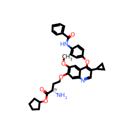 COc1cc2c(Oc3ccc(NC(=O)c4ccccc4)cc3)c(C3CC3)cnc2cc1OCC[C@H](N)C(=O)OC1CCCC1